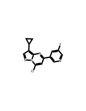 Fc1cncc(-c2cc(Cl)n3ncc(C4CC4)c3n2)c1